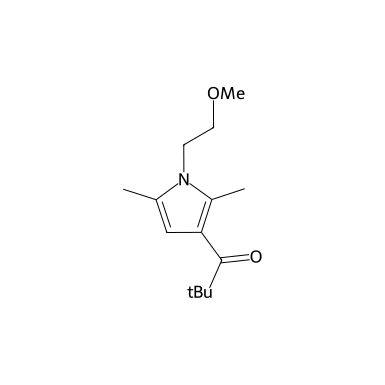 COCCn1c(C)cc(C(=O)C(C)(C)C)c1C